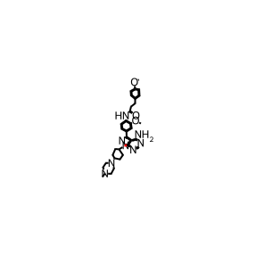 COc1ccc(CCC(=O)Nc2ccc(-c3nn(C4CCC(N5CCN(C)CC5)CC4)c4ncnc(N)c34)cc2OC)cc1